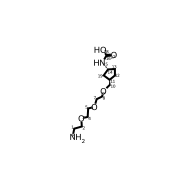 NCCOCCOCCOC[C@@H]1CC[C@@H](NC(=O)O)C1